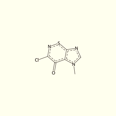 Cn1cnc2snc(Cl)c(=O)c21